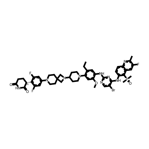 CCc1cc(Nc2ncc(Br)c(Nc3ccc4nc(C)c(F)cc4c3P(C)(C)=O)n2)c(OC)cc1N1CCC(N2CC3(CCN(c4cc(F)c([C@H]5CCC(=O)NC5=O)c(F)c4)CC3)C2)CC1